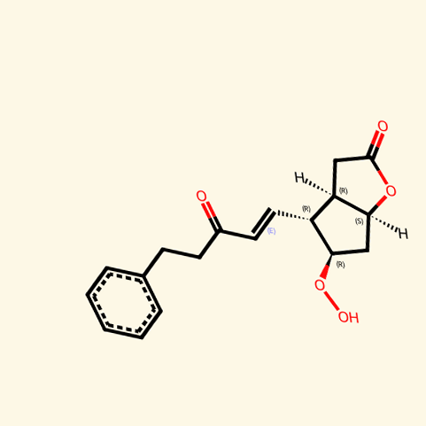 O=C(/C=C/[C@@H]1[C@H]2CC(=O)O[C@H]2C[C@H]1OO)CCc1ccccc1